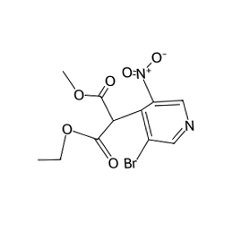 CCOC(=O)C(C(=O)OC)c1c(Br)cncc1[N+](=O)[O-]